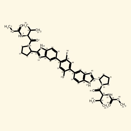 COC(=O)N[C@H](C(=O)N1CCCC1c1nc2cc(-c3cc(F)c(-c4ccc5[nH]c([C@@H]6CCCN6C(=O)[C@@H](NC(=O)OC)C(C)C)nc5c4)cc3F)ccc2[nH]1)C(C)C